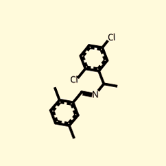 Cc1ccc(C)c(C=NC(C)c2cc(Cl)ccc2Cl)c1